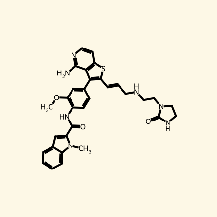 COc1cc(-c2c(C=CCNCCN3CCNC3=O)sc3ccnc(N)c23)ccc1NC(=O)c1cc2ccccc2n1C